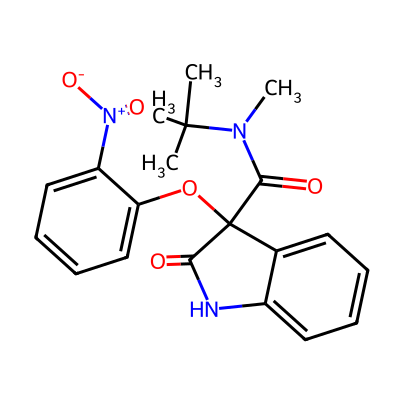 CN(C(=O)C1(Oc2ccccc2[N+](=O)[O-])C(=O)Nc2ccccc21)C(C)(C)C